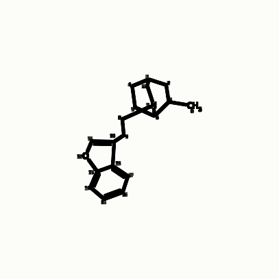 CC1CC2CCC1N(CCc1coc3ccccc13)C2